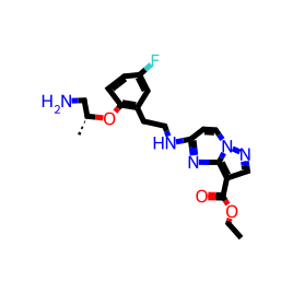 CCOC(=O)c1cnn2ccc(NCCc3cc(F)ccc3O[C@H](C)CN)nc12